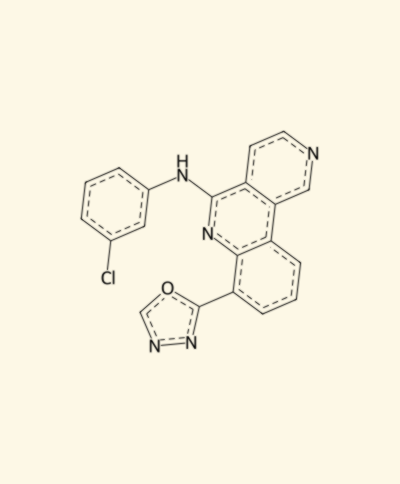 Clc1cccc(Nc2nc3c(-c4nnco4)cccc3c3cnccc23)c1